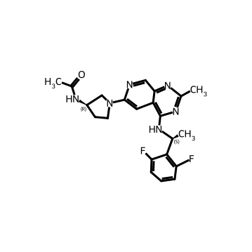 CC(=O)N[C@@H]1CCN(c2cc3c(N[C@@H](C)c4c(F)cccc4F)nc(C)nc3cn2)C1